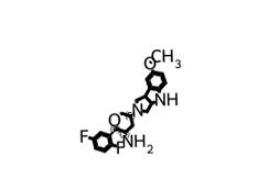 COc1ccc2c(c1)C1CN([C@H]3CO[C@H](c4cc(F)ccc4F)[C@@H](N)C3)CC1N2